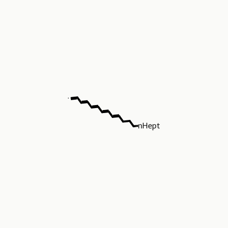 [CH]=CC=CC=CC=CC=CCCCCCCCCCC